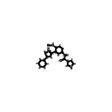 COc1ccc(NC(=O)c2ccoc2)cc1-c1cc(-c2ccccc2)n[nH]1